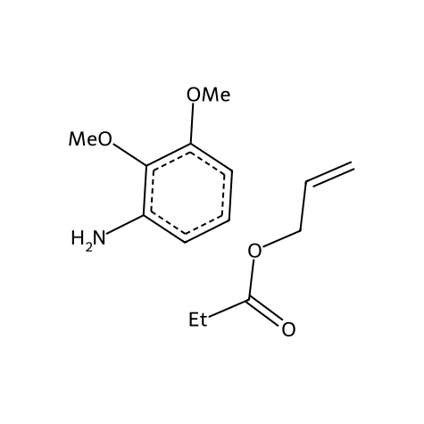 C=CCOC(=O)CC.COc1cccc(N)c1OC